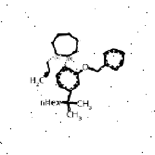 C=CC[C@@H]1CCC[CH]C[C@@H]1c1ccc(C(C)(C)CCCCCC)cc1OCc1ccccc1